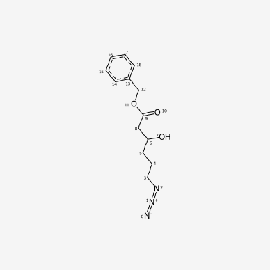 [N-]=[N+]=NCCCC(O)CC(=O)OCc1ccccc1